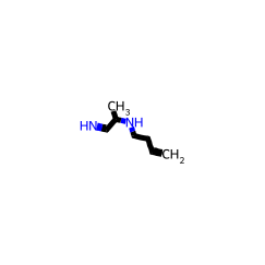 C=CCCNC(C)C=N